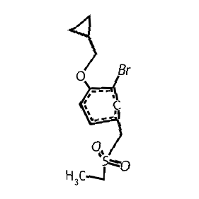 CCS(=O)(=O)Cc1ccc(OCC2CC2)c(Br)c1